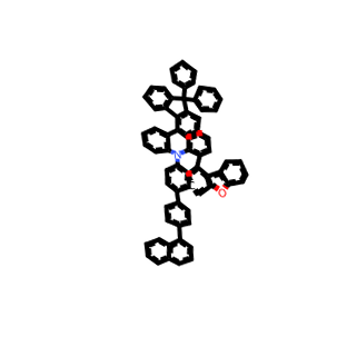 c1ccc(C2(c3ccccc3)c3ccccc3-c3c(-c4ccccc4N(c4ccc(-c5ccc(-c6cccc7ccccc67)cc5)cc4)c4ccccc4-c4cccc5oc6ccccc6c45)cccc32)cc1